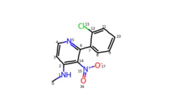 CNc1ccnc(-c2ccccc2Cl)c1[N+](=O)[O-]